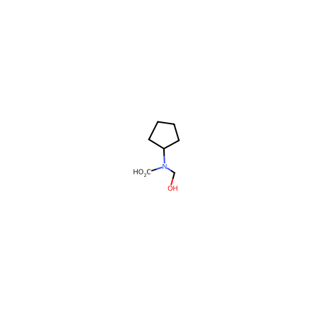 O=C(O)N(CO)C1CCCC1